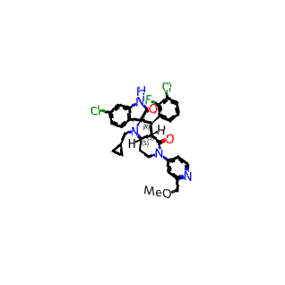 COCc1cc(N2CC[C@H]3[C@@H](C2=O)[C@H](c2cccc(Cl)c2F)[C@]2(C(=O)Nc4cc(Cl)ccc42)N3CC2CC2)ccn1